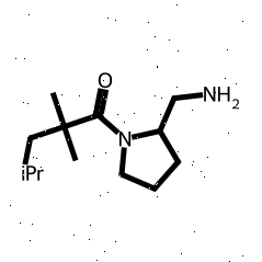 CC(C)CC(C)(C)C(=O)N1CCCC1CN